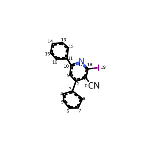 N#Cc1c(-c2ccccc2)cc(-c2ccccc2)nc1I